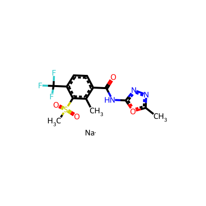 Cc1nnc(NC(=O)c2ccc(C(F)(F)F)c(S(C)(=O)=O)c2C)o1.[Na]